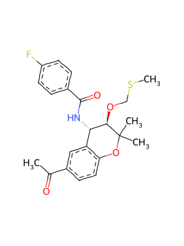 CSCO[C@@H]1[C@@H](NC(=O)c2ccc(F)cc2)c2cc(C(C)=O)ccc2OC1(C)C